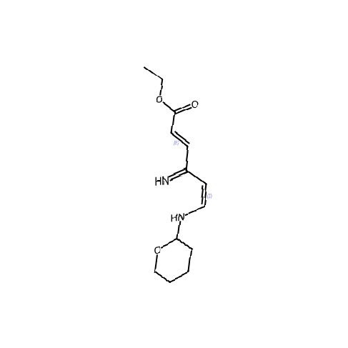 CCOC(=O)/C=C/C(=N)/C=C\NC1CCCCO1